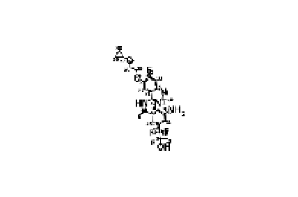 Cc1nc(N[C@H](C)c2cc(N)cc(C(F)(F)C(C)(C)O)c2)c2cc(OCCOC3CC3)c(F)cc2n1